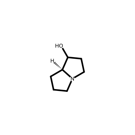 OC1CCN2CCC[C@@H]12